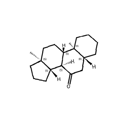 C[C@@]12CCC[C@H]1[C@@H]1C(=O)C[C@H]3CCCC[C@]3(C)[C@H]1CC2